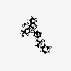 O=C(C[N+]12CCC(CC1)C(OC(=O)[C@](O)(c1ccsc1)C1CCC(F)(F)C1)C2)Nc1ccncn1